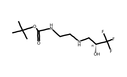 CC(C)(C)OC(=O)NCCNC[C@@H](O)C(F)(F)F